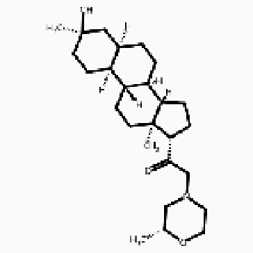 C[C@@H]1CN(CC(=O)[C@H]2CC[C@H]3[C@@H]4CC[C@@H]5C[C@](C)(O)CC[C@@H]5[C@H]4CC[C@]23C)CCO1